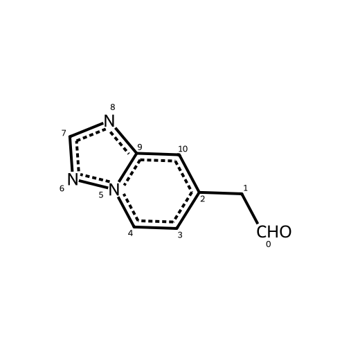 O=CCc1ccn2ncnc2c1